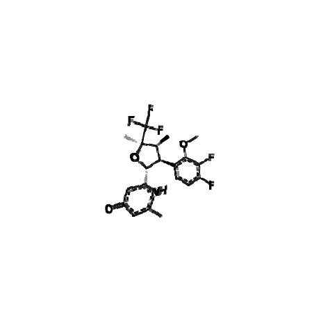 COc1c([C@H]2[C@H](c3cc(=O)cc(C)[nH]3)O[C@@](C)(C(F)(F)F)[C@H]2C)ccc(F)c1F